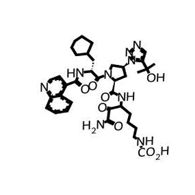 CC(C)(O)c1cnnn1[C@H]1C[C@@H](C(=O)NC(CCCCNC(=O)O)C(=O)C(N)=O)N(C(=O)[C@@H](CC2CCCCC2)NC(=O)c2ccnc3ccccc23)C1